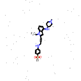 CCS(=O)(=O)c1ccc(NCC#Cc2cc3c(NC4CCN(C)CC4)cccc3n2CC(F)(F)F)cc1